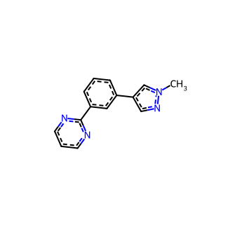 Cn1cc(-c2cccc(-c3ncccn3)c2)cn1